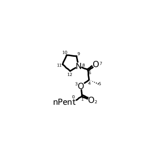 CCCCCC(=O)O[C@@H](C)C(=O)N1CCCC1